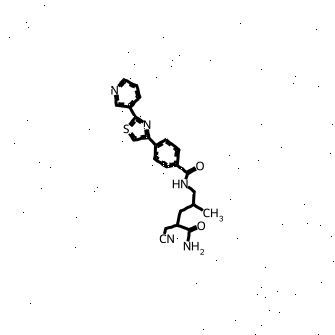 CC(CNC(=O)c1ccc(-c2csc(-c3cccnc3)n2)cc1)CC(CC#N)C(N)=O